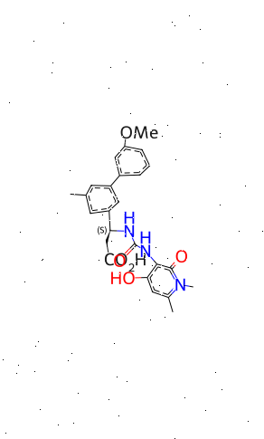 COc1cccc(-c2cc(C)cc([C@H](CC(=O)O)NC(=O)Nc3c(O)cc(C)n(C)c3=O)c2)c1